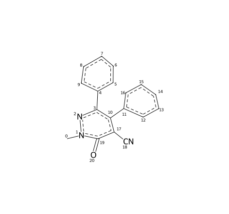 Cn1nc(-c2ccccc2)c(-c2ccccc2)c(C#N)c1=O